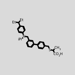 CCC(CC)c1ccc(N(Cc2cccc(-c3ccc(CSC(C)C(=O)O)cc3)c2)C(C)C)cc1